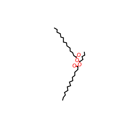 CCCCCCCCCCCCCC(=O)OC(CCCC)OC(=O)CCCCCCCCCCCCC